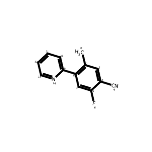 Cc1cc(C#N)c(F)cc1-c1ccccn1